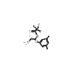 Cc1cc(C)cc(OC(OC(=O)C(F)(F)F)[C@@H](C)N)c1